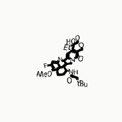 CC[C@@]1(O)C(=O)OCc2c1cc1n(c2=O)Cc2c-1nc1cc(F)c(OC)c3c1c2[C@@H](NC(=O)CC(C)(C)C)CC3